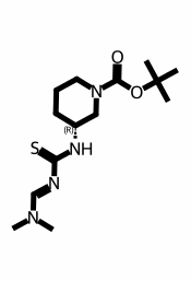 CN(C)C=NC(=S)N[C@@H]1CCCN(C(=O)OC(C)(C)C)C1